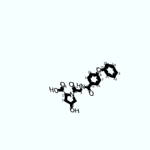 O=C(NCC(=O)N1CC(O)C[C@@H]1C(=O)O)c1ccc(Oc2ccccc2)cc1